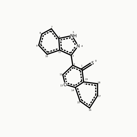 S=c1c(-c2n[nH]c3ccccc23)coc2ccccc12